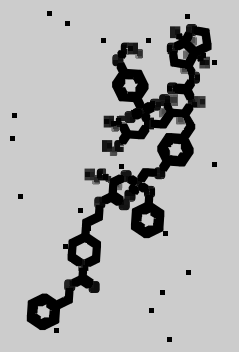 COc1ccc(S(=O)(=O)N(CC(C)C)C[C@@H](O)[C@H](Cc2ccc(OCP(=O)(Oc3ccccc3)O[C@@H](C)C(=O)OCCC3CCN(C(=O)OCc4ccccc4)CC3)cc2)NC(=O)O[C@H]2CO[C@H]3OCC[C@H]32)cc1